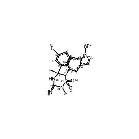 CCCn1ncc2cc([C@@H]3[C@@](C)(c4cc(F)ccc4F)NC(=N)N(C)S3(=O)=O)ccc21